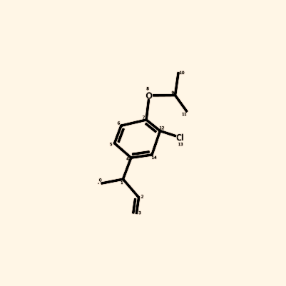 [CH2]C(C=C)c1ccc(OC(C)C)c(Cl)c1